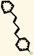 Clc1ccc(/C=C/C=C/c2ccccc2)cc1